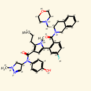 COCCc1c(C(=O)N(c2ccc(O)cc2)C2C=NN(C)C2)cc(-c2cc(F)ccc2C(=O)N2Cc3ccccc3C[C@H]2CN2CCOCC2)n1C